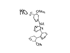 COc1cc(Nc2nccc(-c3ccccc3C3CCOCC3C#N)n2)ccc1C(=O)O